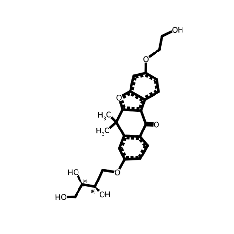 CC1(C)c2cc(OC[C@@H](O)[C@H](O)CO)ccc2C(=O)c2c1oc1cc(OCCO)ccc21